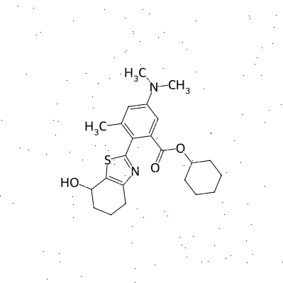 Cc1cc(N(C)C)cc(C(=O)OC2CCCCC2)c1-c1nc2c(s1)C(O)CCC2